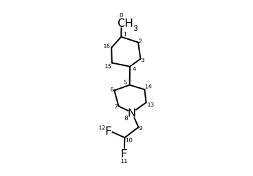 CC1CCC(C2CCN(CC(F)F)CC2)CC1